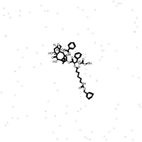 CC(=O)O[C@@]12CO[C@@H]1C[C@H](O)[C@@]1(C)C(=O)[C@H](O)C3=C(C)[C@@H](OC(=O)[C@H](OC(=O)CCCCCNC(=O)OCc4ccccc4)[C@@H](NC(=O)OC(C)(C)C)c4ccccc4)C[C@@](O)([C@@H](OC(=O)c4ccccc4)[C@H]21)C3(C)C